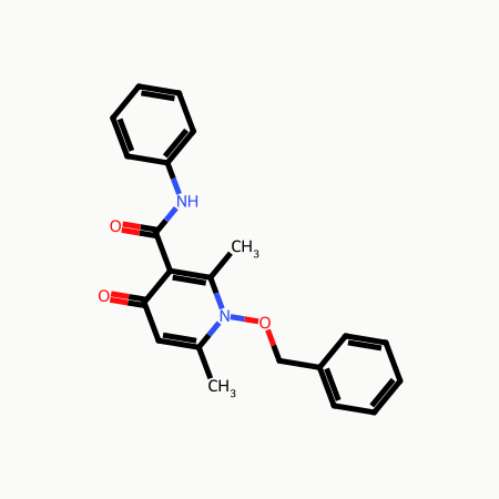 Cc1cc(=O)c(C(=O)Nc2ccccc2)c(C)n1OCc1ccccc1